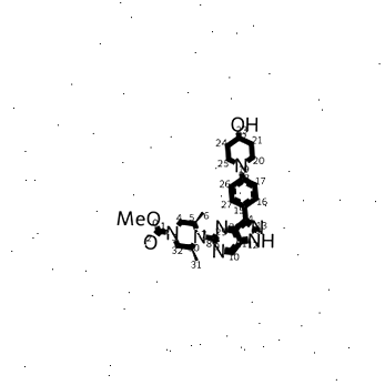 COC(=O)N1C[C@@H](C)N(c2ncc3[nH]nc(-c4ccc(N5CCC(O)CC5)cc4)c3n2)[C@@H](C)C1